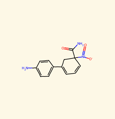 NC(=O)C1([N+](=O)[O-])C=CC=C(c2ccc(N)cc2)C1